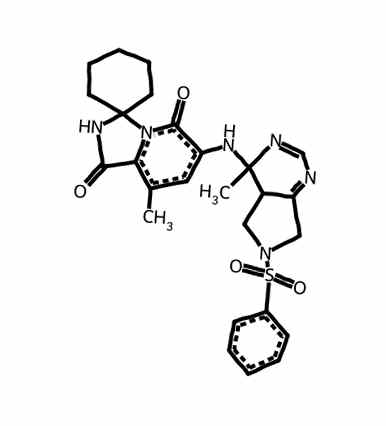 Cc1cc(NC2(C)N=CN=C3CN(S(=O)(=O)c4ccccc4)CC32)c(=O)n2c1C(=O)NC21CCCCC1